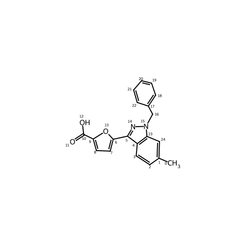 Cc1ccc2c(-c3ccc(C(=O)O)o3)nn(Cc3ccccc3)c2c1